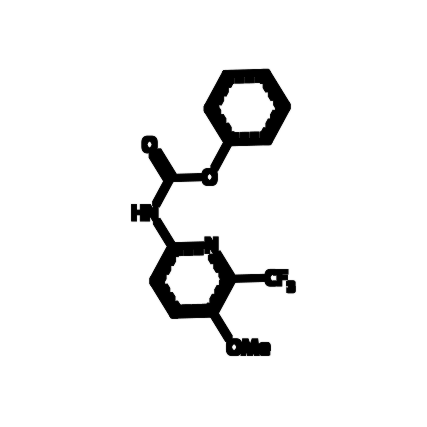 COc1ccc(NC(=O)Oc2ccccc2)nc1C(F)(F)F